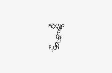 O=c1nc(OCc2ccc(Oc3ccc(C(F)(F)F)nc3)c(F)c2)cc2n1CCc1cc(F)ccc1-2